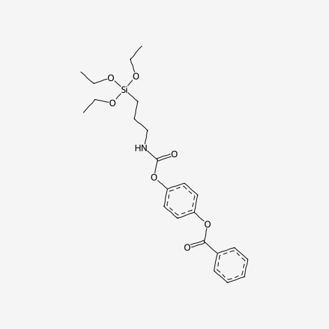 CCO[Si](CCCNC(=O)Oc1ccc(OC(=O)c2ccccc2)cc1)(OCC)OCC